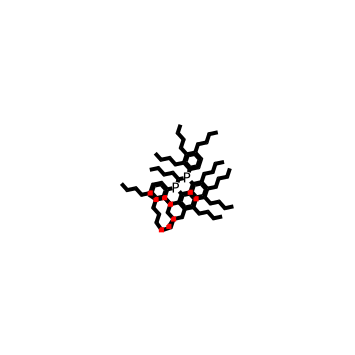 CCCCc1ccc(P(c2ccc(CCCC)c(CCCC)c2CCCC)C(CCCC)P(c2ccc(CCCC)c(CCCC)c2CCCC)c2ccc(CCCC)c(CCCC)c2CCCC)c(CCCC)c1CCCC